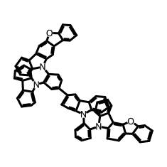 c1ccc(-n2c3ccccc3c3c4oc5ccccc5c4ccc32)c(-n2c3ccccc3c3cc(-c4ccc(-n5c6ccccc6c6cc7oc8ccccc8c7cc65)c(-n5c6ccccc6c6ccccc65)c4)ccc32)c1